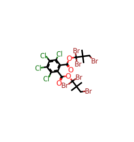 CC(C)(CBr)C(Br)(Br)OC(=O)c1c(Cl)c(Cl)c(Cl)c(Cl)c1C(=O)OC(Br)(Br)C(C)(C)CBr